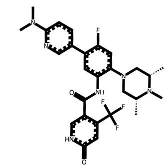 C[C@@H]1CN(c2cc(F)c(-c3ccc(N(C)C)nc3)cc2NC(=O)c2c[nH]c(=O)cc2C(F)(F)F)C[C@H](C)N1C